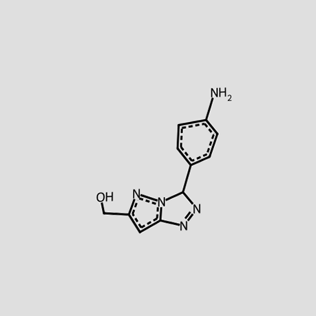 Nc1ccc(C2N=Nc3cc(CO)nn32)cc1